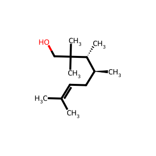 CC(C)=CC[C@H](C)[C@@H](C)C(C)(C)CO